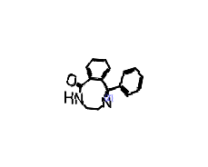 O=C1NCC/N=C(/c2ccccc2)c2ccccc21